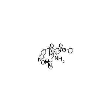 NC(CCC(=O)N1CCCC1)C(=O)N1CCN(C(=O)OCc2ccccc2)CC1C(=O)NCc1ccc2cnc(O)cc2c1